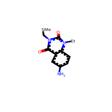 CCn1c(=O)n(CSC)c(=O)c2cc(N)ccc21